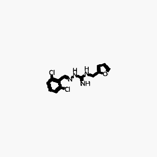 N=C(NCc1ccco1)NN=Cc1c(Cl)cccc1Cl